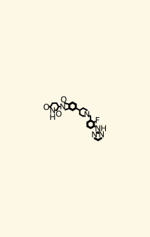 O=C1CCC(N2Cc3cc(C4CCN(Cc5cccc(Nc6ncccn6)c5F)CC4)ccc3C2=O)C(=O)N1